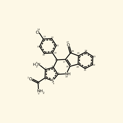 NC(=O)c1sc2c(c1N)C(c1ccc(Cl)cc1)C1=C(N2)c2ccccc2C1=O